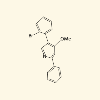 COc1cc(-c2ccccc2)ncc1-c1ccccc1Br